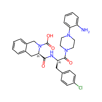 Nc1ccccc1N1CCN(C(=O)[C@@H](Cc2ccc(Cl)cc2)NC(=O)[C@H]2Cc3ccccc3CN2C(=O)O)CC1